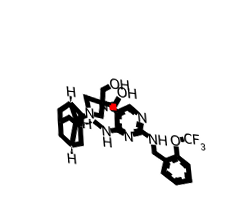 N#Cc1cnc(NCc2ccccc2OC(F)(F)F)nc1NC[C@@]12CC3C[C@H](C1)[C@@H](N1CC(CO)(CO)C1)[C@@H](C3)C2